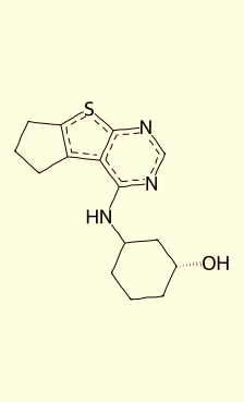 O[C@@H]1CCCC(Nc2ncnc3sc4c(c23)CCC4)C1